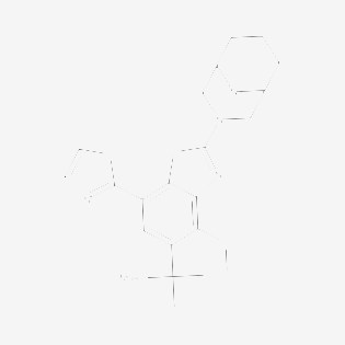 COC(C)(C)c1cc(-c2nccs2)c2oc(N3CC4CCCC(C3)N4)nc2c1OC(F)(F)F